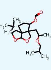 CC(C)COC(C)CC12COC3OCCC31[C@H](C(C)(C)C)CC2OC=O